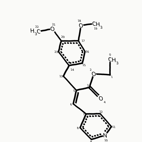 CCOC(=O)C(=Cc1ccncc1)Cc1ccc(OC)c(OC)c1